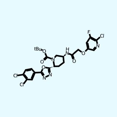 CC(C)(C)OC(=O)N1C[C@@H](NC(=O)COc2cnc(Cl)c(F)c2)CC[C@@H]1c1nnc(-c2ccc(Cl)c(Cl)c2)o1